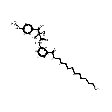 CCCCCCCCCCCCOC(=O)c1cccc(NC(=O)C(Cl)(Cl)C(=O)c2ccc(OC)cc2)c1